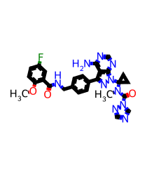 COc1ccc(F)cc1C(=O)NCc1ccc(-c2nn(C3(N(C)C(=O)n4cncn4)CC3)c3ncnc(N)c23)cc1